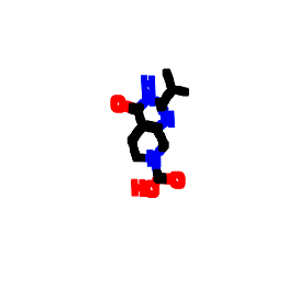 CC(C)c1nc2c(c(=O)[nH]1)CCN(C(=O)O)C2